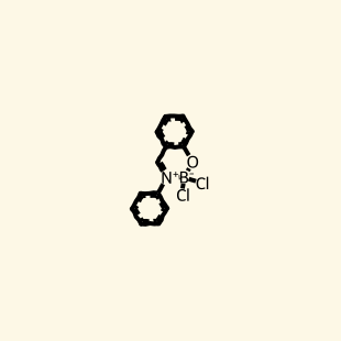 Cl[B-]1(Cl)Oc2ccccc2C=[N+]1c1ccccc1